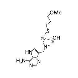 COCCCSC[C@H]1CN(Cc2c[nH]c3c(N)ncnc23)C[C@H]1O